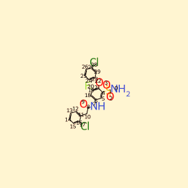 NS(=O)(=O)c1cc(NC(=O)Cc2ccccc2Cl)cc(F)c1Oc1cccc(Cl)c1